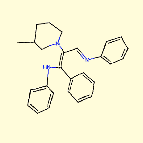 CC1CCCN(C(C=Nc2ccccc2)=C(Nc2ccccc2)c2ccccc2)C1